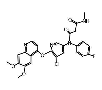 CNC(=O)CC(=O)N(c1ccc(F)cc1)c1cnc(Oc2ccnc3cc(OC)c(OC)cc23)c(Cl)c1